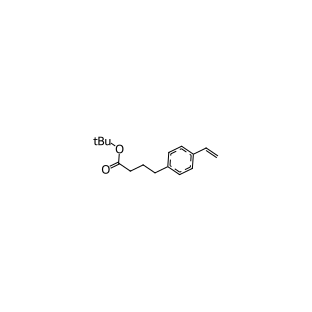 C=Cc1ccc(CCCC(=O)OC(C)(C)C)cc1